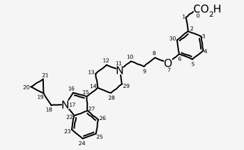 O=C(O)Cc1cccc(OCCCN2CCC(c3cn(CC4CC4)c4ccccc34)CC2)c1